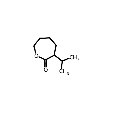 CC(C)C1CCCCOC1=O